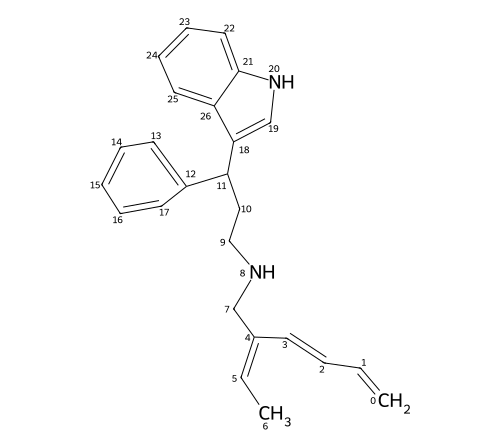 C=C/C=C/C(=C\C)CNCCC(c1ccccc1)c1c[nH]c2ccccc12